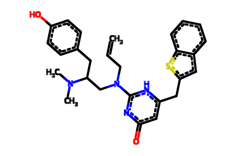 C=CCN(CC(Cc1ccc(O)cc1)N(C)C)c1nc(=O)cc(Cc2cc3ccccc3s2)[nH]1